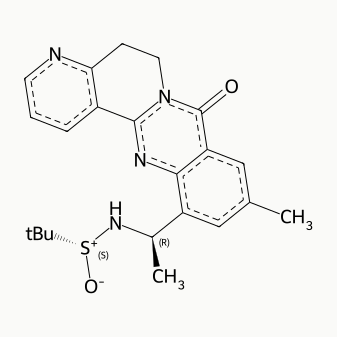 Cc1cc([C@@H](C)N[S@+]([O-])C(C)(C)C)c2nc3n(c(=O)c2c1)CCc1ncccc1-3